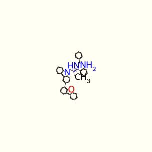 CC/C(Cn1c2ccccc2c2cc(-c3cccc4c3oc3ccccc34)ccc21)=C(/NC(N)c1ccccc1)c1ccccc1